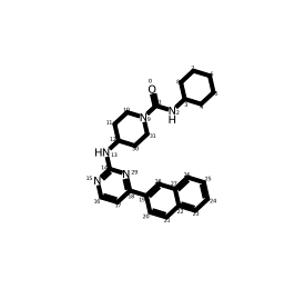 O=C(NC1CCCCC1)N1CCC(Nc2nccc(-c3ccc4ccccc4c3)n2)CC1